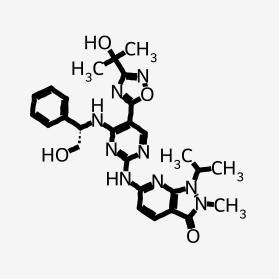 CC(C)n1c2nc(Nc3ncc(-c4nc(C(C)(C)O)no4)c(N[C@H](CO)c4ccccc4)n3)ccc2c(=O)n1C